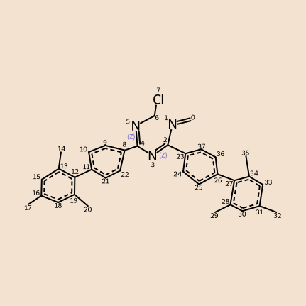 C=N/C(=N\C(=N/CCl)c1ccc(-c2c(C)cc(C)cc2C)cc1)c1ccc(-c2c(C)cc(C)cc2C)cc1